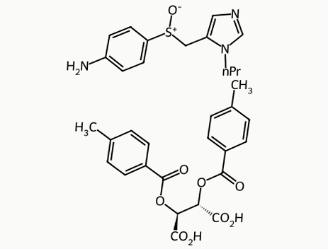 CCCn1cncc1C[S+]([O-])c1ccc(N)cc1.Cc1ccc(C(=O)O[C@H](C(=O)O)[C@H](OC(=O)c2ccc(C)cc2)C(=O)O)cc1